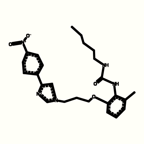 CCCCCNC(=O)Nc1c(C)cccc1OCCCn1cnc(-c2ccc([N+](=O)[O-])cc2)c1